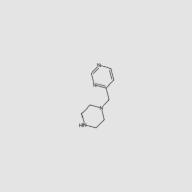 c1cc(CN2CCNCC2)ncn1